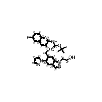 CC(C)(C)OC(=O)Nc1nc2ccc(F)cc2cc1OCc1cc2c(cnn2CCO)cc1-n1cccn1